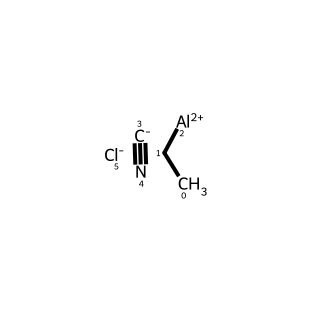 C[CH2][Al+2].[C-]#N.[Cl-]